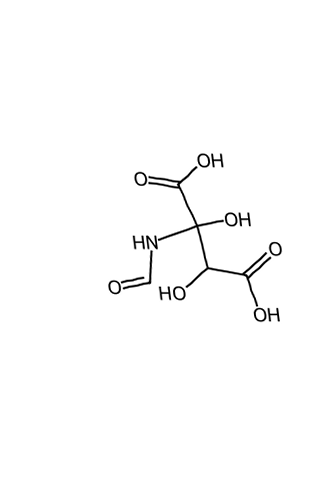 O=CNC(O)(C(=O)O)C(O)C(=O)O